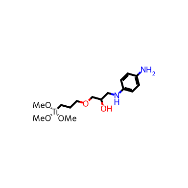 C[O][Ti]([CH2]CCOCC(O)CNc1ccc(N)cc1)([O]C)[O]C